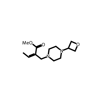 CC=C(CN1CCN(C2COC2)CC1)C(=O)OC